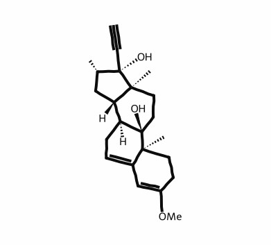 C#C[C@]1(O)[C@@H](C)C[C@H]2[C@@H]3CC=C4C=C(OC)CC[C@]4(C)[C@@]3(O)CC[C@@]21C